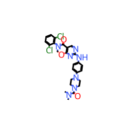 CN(C)C(=O)N1CCN(c2ccc(Nc3ncc4c(n3)OCN(c3c(Cl)cccc3Cl)C4=O)cc2)CC1